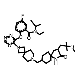 CCN(C(=O)c1cc(F)ccc1Oc1nncnc1N1CC2(CCN(CC3CCC4(CC3)CC(CC(C)(C)OC)C(=O)N4)CC2)C1)C(C)C